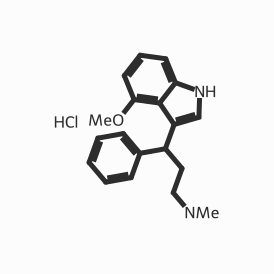 CNCCC(c1ccccc1)c1c[nH]c2cccc(OC)c12.Cl